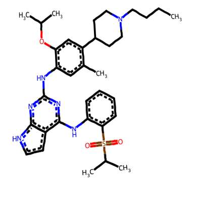 CCCCN1CCC(c2cc(OC(C)C)c(Nc3nc(Nc4ccccc4S(=O)(=O)C(C)C)c4cc[nH]c4n3)cc2C)CC1